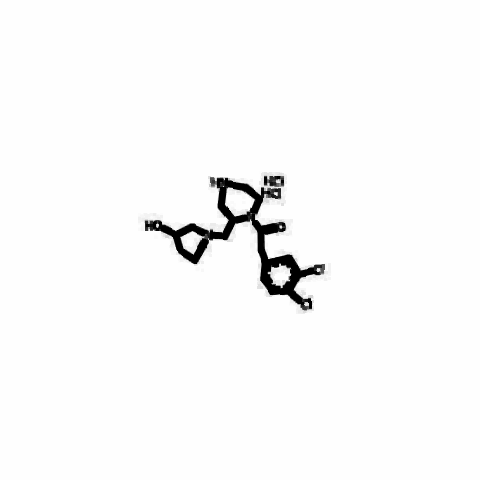 Cl.Cl.O=C(Cc1ccc(Cl)c(Cl)c1)N1CCNCC1CN1CCC(O)C1